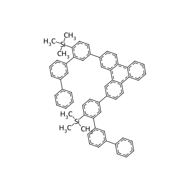 C[Si](C)(C)c1ccc(-c2ccc3c4ccccc4c4ccc(-c5ccc([Si](C)(C)C)c(-c6cccc(-c7ccccc7)c6)c5)cc4c3c2)cc1-c1cccc(-c2ccccc2)c1